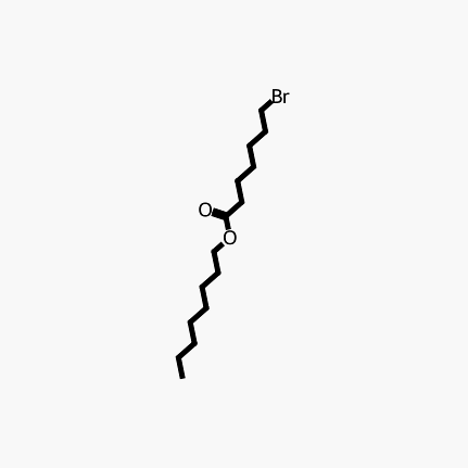 CCCCCCCCOC(=O)CCCCCCBr